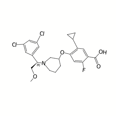 COC[C@@H](c1cc(Cl)cc(Cl)c1)N1CCCC(Oc2cc(F)c(C(=O)O)cc2C2CC2)C1